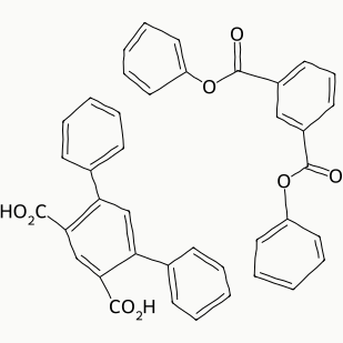 O=C(O)c1cc(C(=O)O)c(-c2ccccc2)cc1-c1ccccc1.O=C(Oc1ccccc1)c1cccc(C(=O)Oc2ccccc2)c1